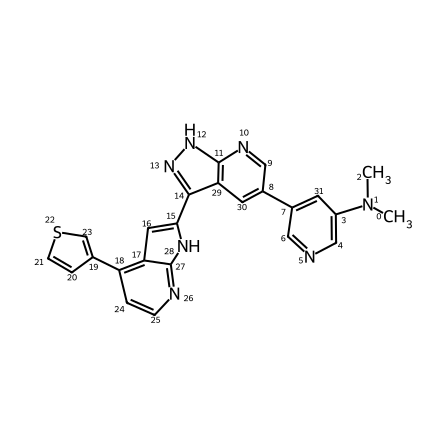 CN(C)c1cncc(-c2cnc3[nH]nc(-c4cc5c(-c6ccsc6)ccnc5[nH]4)c3c2)c1